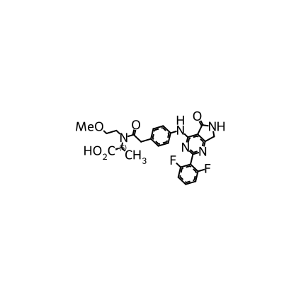 COCCN(C(=O)Cc1ccc(Nc2nc(-c3c(F)cccc3F)nc3c2C(=O)NC3)cc1)[C@@H](C)C(=O)O